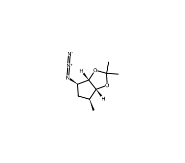 C[C@H]1C[C@@H](N=[N+]=[N-])[C@@H]2OC(C)(C)O[C@@H]21